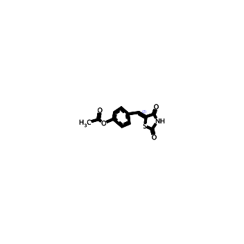 CC(=O)Oc1ccc(/C=C2\SC(=O)NC2=O)cc1